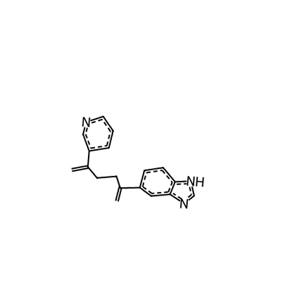 C=C(CCC(=C)c1ccc2[nH]cnc2c1)c1cccnc1